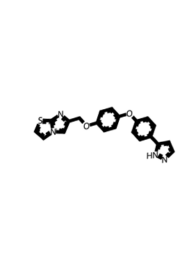 c1cc(-c2ccc(Oc3ccc(OCc4cn5ccsc5n4)cc3)cc2)[nH]n1